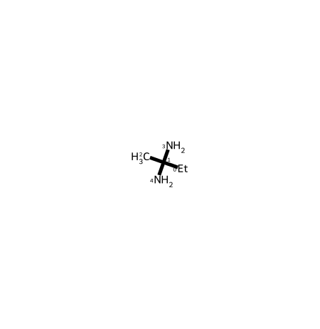 CCC(C)(N)N